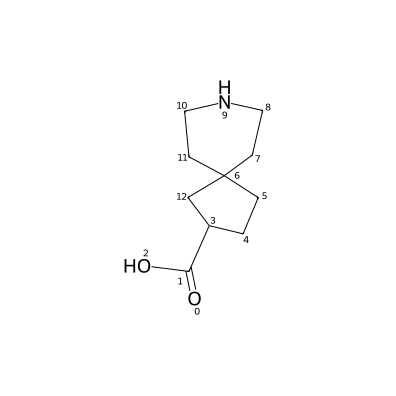 O=C(O)C1CCC2(CCNCC2)C1